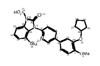 COc1ccc(-c2ccc(-n3c(=O)n(C(=O)O)c4cccc(C(C)(C)C)c43)nc2)cc1OC1CCCC1